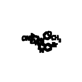 CC1CC(n2c(CC3=CS3(C)N=O)nc3cnc4ccc(Br)cc4c32)CCO1